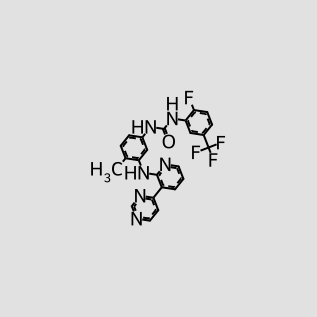 Cc1ccc(NC(=O)Nc2cc(C(F)(F)F)ccc2F)cc1Nc1ncccc1-c1ccncn1